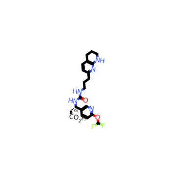 O=C(O)C[C@H](NC(=O)NCCCc1ccc2c(n1)NCCC2)c1ccc(OC(F)F)nc1